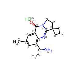 Cc1cc([C@@H](C)N)c2nc3n(c(=O)c2c1)CCC31CCC1.Cl